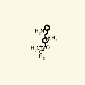 CCN(CC)C(=O)C1CCC(CCc2ccccc2N)N(C)C1